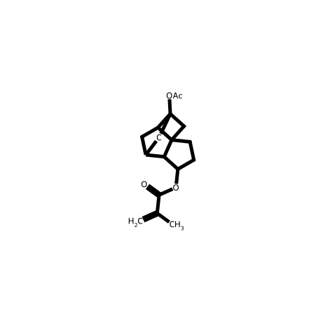 C=C(C)C(=O)OC1CCC23CC4(OC(C)=O)CC(CC42)C13